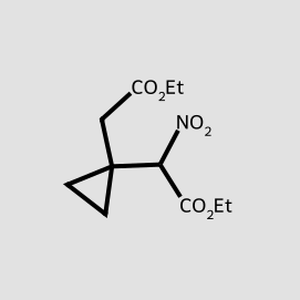 CCOC(=O)CC1(C(C(=O)OCC)[N+](=O)[O-])CC1